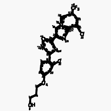 OCCCOc1ccc(-c2noc(-c3cn4cc(C(F)(F)F)cc(Cl)c4n3)n2)c(Cl)c1